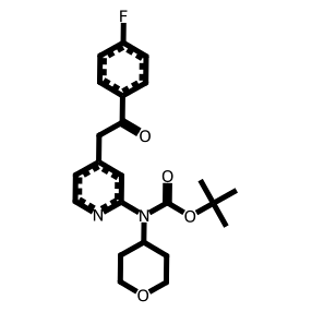 CC(C)(C)OC(=O)N(c1cc(CC(=O)c2ccc(F)cc2)ccn1)C1CCOCC1